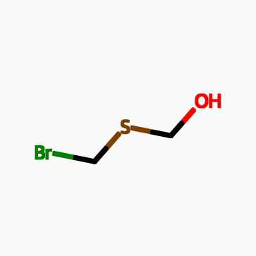 OCSCBr